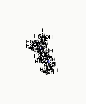 CC(=O)N/C(=C(\O)C(CCO)OC1OC(CO)C(O)C(O)C1NC(C)=O)C(O)OC1C(CO)OC(OC(CCO)/C(O)=C(/NC(C)=O)C(O)OC2C(COC3OC(C)C(O)C(O)C3O)OC(O)C(NC(C)=O)C2O)C(NC(C)=O)C1O